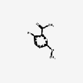 COc1ccc(Br)c(C(C)=O)n1